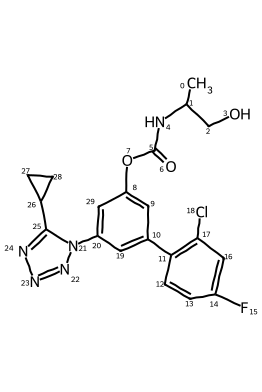 CC(CO)NC(=O)Oc1cc(-c2ccc(F)cc2Cl)cc(-n2nnnc2C2CC2)c1